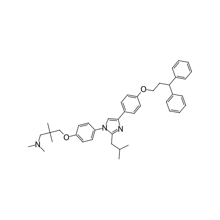 CC(C)Cc1nc(-c2ccc(OCCC(c3ccccc3)c3ccccc3)cc2)cn1-c1ccc(OCC(C)(C)CN(C)C)cc1